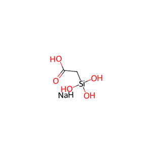 O=C(O)C[Si](O)(O)O.[NaH]